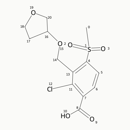 CS(=O)(=O)c1ccc(C(=O)O)c(Cl)c1COC1CCOC1